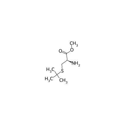 COC(=O)[C@@H](N)CSC(C)(C)C